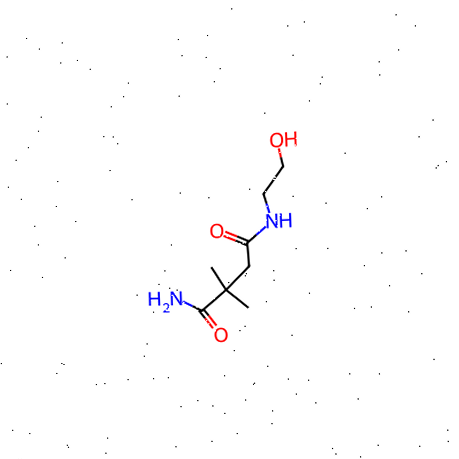 CC(C)(CC(=O)NCCO)C(N)=O